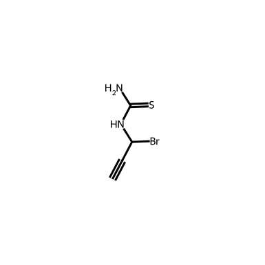 C#CC(Br)NC(N)=S